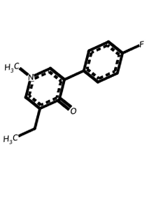 CCc1cn(C)cc(-c2ccc(F)cc2)c1=O